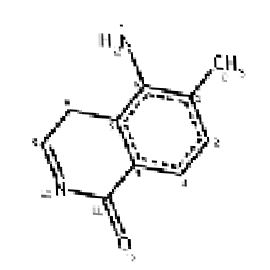 Cc1ccc2c(c1N)CC=NC2=O